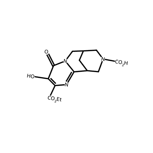 CCOC(=O)c1nc2n(c(=O)c1O)CC1CC2CN(C(=O)O)C1